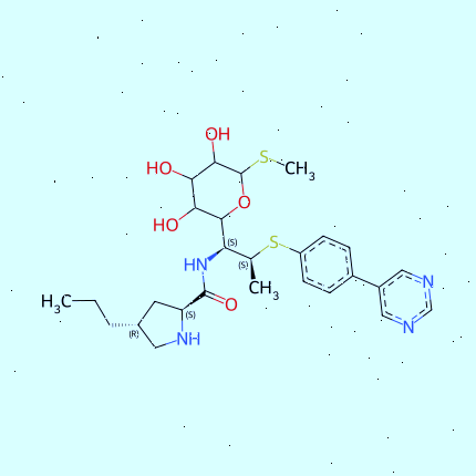 CCC[C@H]1CN[C@H](C(=O)N[C@@H](C2OC(SC)C(O)C(O)C2O)[C@H](C)Sc2ccc(-c3cncnc3)cc2)C1